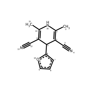 CC1=C(C#N)C(c2ccco2)C(C#N)=C(C)N1